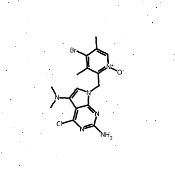 Cc1c[n+]([O-])c(Cn2cc(N(C)C)c3c(Cl)nc(N)nc32)c(C)c1Br